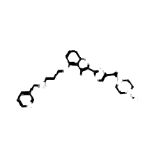 Cc1c(-c2nc(C(=O)N3CCN(C)CC3)co2)oc2cccc(OCCCNCc3cccnc3)c12